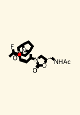 CC(=O)NC[C@H]1CN(C(C)/C=C\C(=C(/C)F)N2C3CCC2C[S+]([O-])C3)C(=O)O1